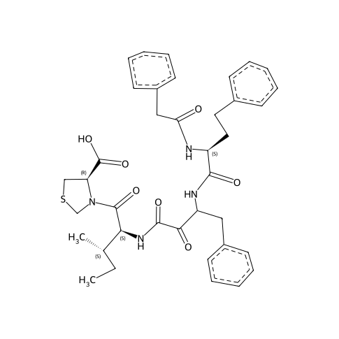 CC[C@H](C)[C@H](NC(=O)C(=O)C(Cc1ccccc1)NC(=O)[C@H](CCc1ccccc1)NC(=O)Cc1ccccc1)C(=O)N1CSC[C@H]1C(=O)O